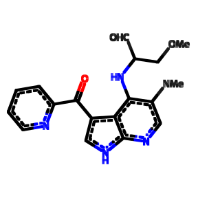 CNc1cnc2[nH]cc(C(=O)c3ccccn3)c2c1NC(C=O)COC